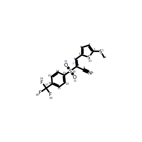 CSc1ccc(/C=C(\C#N)S(=O)(=O)c2ccc(C(F)(F)F)cc2)s1